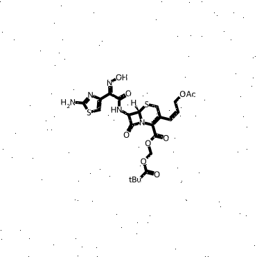 CC(=O)OC/C=C\C1=C(C(=O)OCOC(=O)C(C)(C)C)N2C(=O)C(NC(=O)/C(=N\O)c3csc(N)n3)[C@@H]2SC1